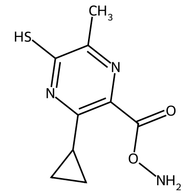 Cc1nc(C(=O)ON)c(C2CC2)nc1S